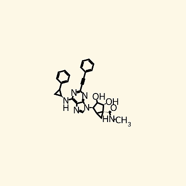 CNC(=O)[C@]12CC1[C@@H](n1cnc3c(N[C@@H]4CC4c4ccccc4)nc(C#Cc4ccccc4)nc31)C(O)[C@@H]2O